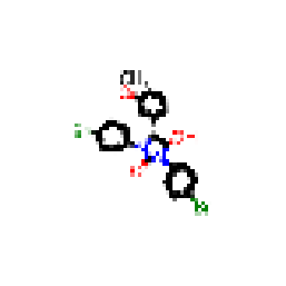 COc1cccc([C@@H]2C(O)N(c3ccc(Br)cc3)C(=O)N2c2ccc(Br)cc2)c1